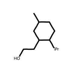 CC1CCC(C(C)C)[C](CCO)C1